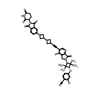 CC1(C)[C@H](Oc2ccc(C#N)c(Cl)c2)C(C)(C)[C@H]1N1Cc2c(ncc(C#CC3CN(C4CN(c5ccc6c(c5)C(=O)N(C5CCC(=O)NC5=O)C6=O)C4)C3)c2F)C1=O